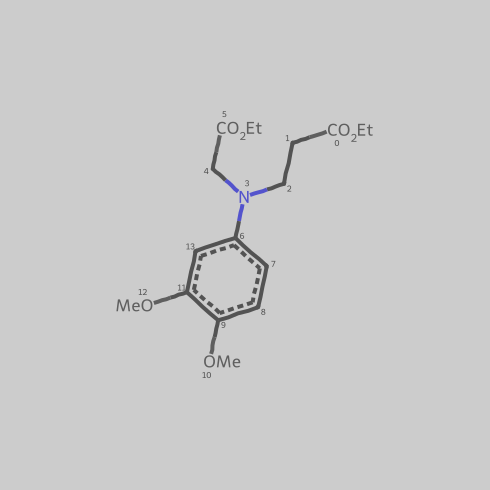 CCOC(=O)CCN(CC(=O)OCC)c1ccc(OC)c(OC)c1